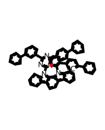 c1ccc(-c2ccc(-c3nc(-c4cccc(-c5ccccc5)c4)nc(-n4c5ccccc5c5ccc6c7ccccc7n(-c7ccccc7-c7ccc(-c8ccccc8)cc7)c6c54)n3)cc2)cc1